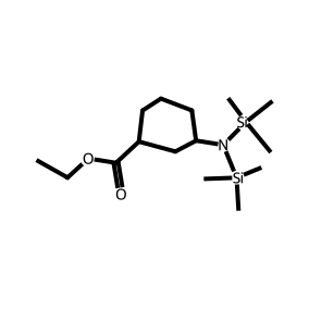 CCOC(=O)C1CCCC(N([Si](C)(C)C)[Si](C)(C)C)C1